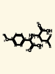 COc1ccc(C(NC(CC(C)C)C(=O)O)C(=O)O)cc1